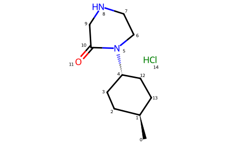 C[C@H]1CC[C@H](N2CCNCC2=O)CC1.Cl